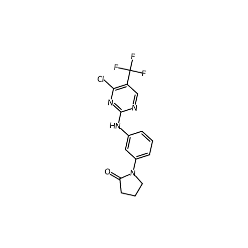 O=C1CCCN1c1cccc(Nc2ncc(C(F)(F)F)c(Cl)n2)c1